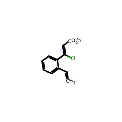 C=Cc1ccccc1/C(Cl)=C/C(=O)O